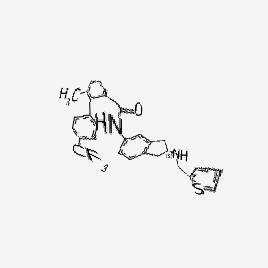 Cc1cccc(C(=O)Nc2ccc3c(c2)C[C@@H](NCc2cccs2)C3)c1-c1ccc(C(F)(F)F)cc1